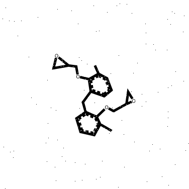 Cc1cccc(Cc2cccc(C)c2OCC2CO2)c1OCC1CO1